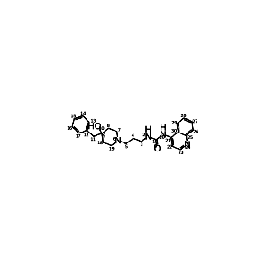 O=C(NCCCN1CCC(O)(Cc2ccccc2)CC1)Nc1ccnc2ccccc12